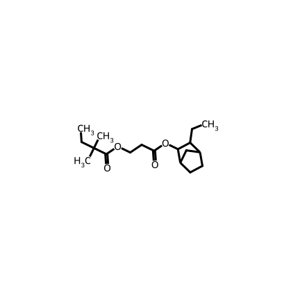 CCC1C2CCC(C2)C1OC(=O)CCOC(=O)C(C)(C)CC